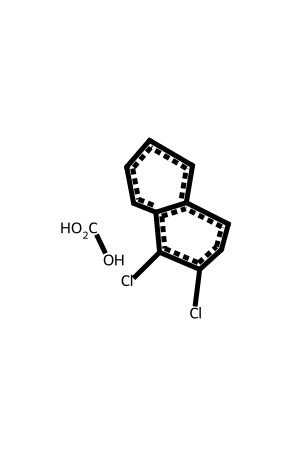 Clc1ccc2ccccc2c1Cl.O=C(O)O